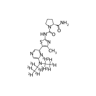 [2H]C([2H])([2H])C([2H])([2H])N(c1cncc(-c2sc(NC(=O)N3CCC[C@H]3C(N)=O)nc2C)n1)C([2H])([2H])C([2H])([2H])[2H]